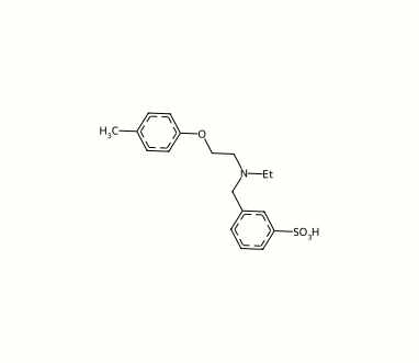 CCN(CCOc1ccc(C)cc1)Cc1cccc(S(=O)(=O)O)c1